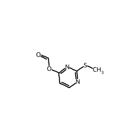 CSc1nccc(OC=O)n1